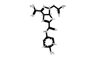 Cc1ncc(NC(=O)C2=NC3C(C(N)=O)=NN(CC(=O)O)C3S2)cn1